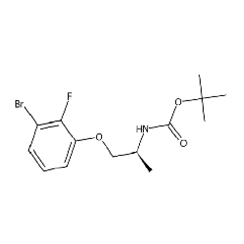 C[C@@H](COc1cccc(Br)c1F)NC(=O)OC(C)(C)C